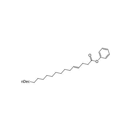 CCCCCCCCCCCCCCCCCCCC=CCCC(=O)Oc1ccccc1